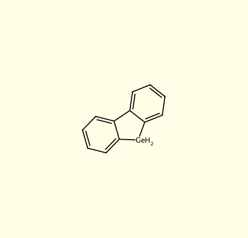 c1ccc2[c](c1)[GeH2][c]1ccccc1-2